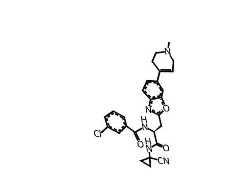 CN1CC=C(c2ccc3nc(C[C@H](NC(=O)c4cccc(Cl)c4)C(=O)NC4(C#N)CC4)oc3c2)CC1